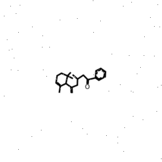 C=C(CC(C)CC(=O)c1ccccc1)C1C(C)=CCCC1(C)C